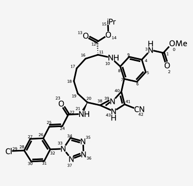 COC(=O)Nc1ccc2c(c1)N[C@@H](C(=O)OC(C)C)CCCC[C@H](NC(=O)/C=C/c1cc(Cl)ccc1-n1cnnn1)c1nc-2c(C#N)[nH]1